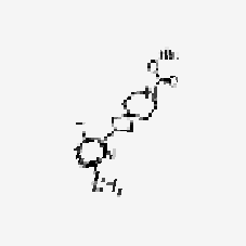 Cc1ccc(F)c(C2CC3(CCN(C(=O)OC(C)(C)C)CC3)C2)n1